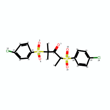 CC(C(=O)C(C)(C)S(=O)(=O)c1ccc(Cl)cc1)S(=O)(=O)c1ccc(Cl)cc1